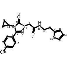 O=C(Cn1nc(-c2ccc(Cl)cc2)n(C2CC2)c1=O)NCCc1cccs1